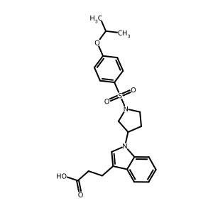 CC(C)Oc1ccc(S(=O)(=O)N2CCC(n3cc(CCC(=O)O)c4ccccc43)C2)cc1